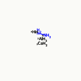 NN.[AlH3].[CaH2].[HH]